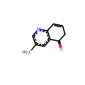 O=C(O)c1cnc2c(c1)C(=O)CC=C2